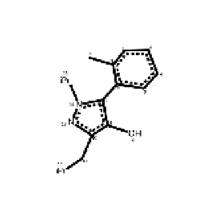 Cc1ccccc1-c1c(O)c(CC(C)C)nn1C(C)C